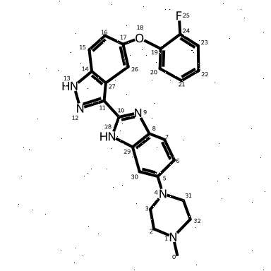 CN1CCN(c2ccc3nc(-c4n[nH]c5ccc(Oc6ccccc6F)cc45)[nH]c3c2)CC1